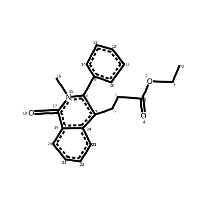 CCOC(=O)CCc1c(-c2ccccc2)n(C)c(=O)c2ccccc12